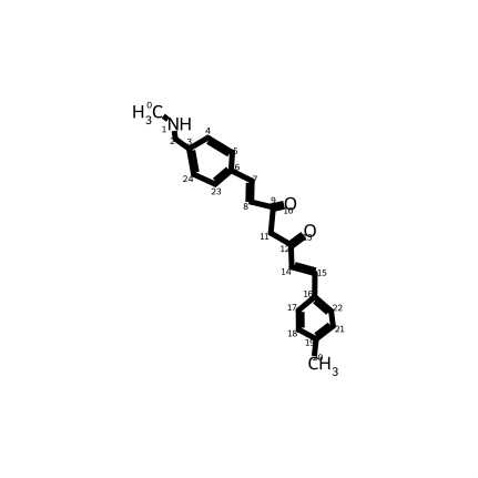 CNCc1ccc(/C=C/C(=O)CC(=O)/C=C/c2ccc(C)cc2)cc1